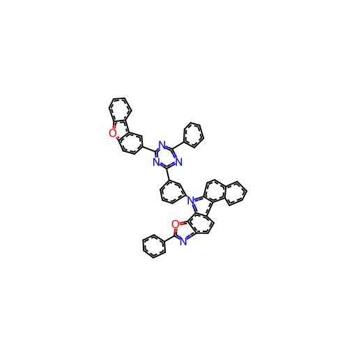 c1ccc(-c2nc(-c3cccc(-n4c5ccc6ccccc6c5c5ccc6nc(-c7ccccc7)oc6c54)c3)nc(-c3ccc4oc5ccccc5c4c3)n2)cc1